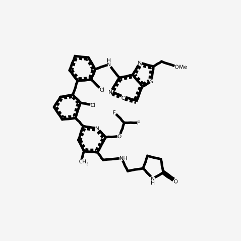 COCc1nc2c(Nc3cccc(-c4cccc(-c5cc(C)c(CNCC6CCC(=O)N6)c(OC(F)F)n5)c4Cl)c3Cl)nccc2s1